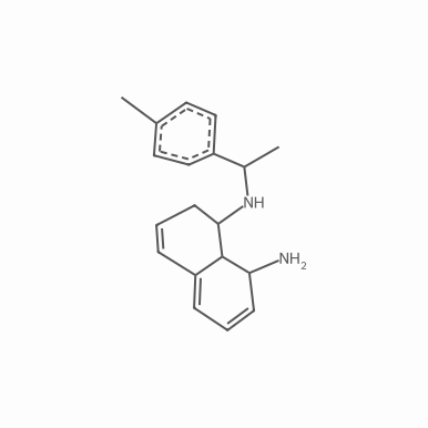 Cc1ccc(C(C)NC2CC=CC3=CC=CC(N)C32)cc1